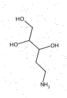 NCCC(O)C(O)CO